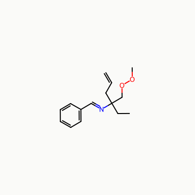 C=CCC(CC)(COOC)N=Cc1ccccc1